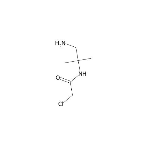 CC(C)(CN)NC(=O)CCl